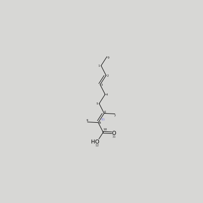 CCC=CCC/C(C)=C(\C)C(=O)O